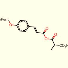 CCCCCOc1ccc(/C=C/C(=O)OC(=O)C(C)C(=O)O)cc1